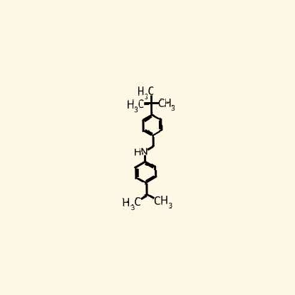 CC(C)c1ccc(NCc2ccc(C(C)(C)C)cc2)cc1